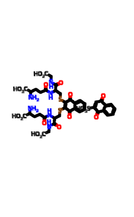 NC(CCC(=O)NC(CSC1=C(SCC(NC(=O)CCC(N)C(=O)O)C(=O)NCC(=O)O)C(=O)c2ccccc2C1=O)C(=O)NCC(=O)O)C(=O)O.O=C1C=C(S(=O)(=O)O)C(=O)c2ccccc21